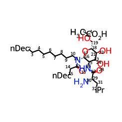 CC(=O)O.CCCCCCCCCCCCCCCCCCN(C(=O)CCCCCCCCCCC)[C@@H]1O[C@H](CO)[C@@H](O)[C@H](O)[C@H]1NC(=O)[C@@H](N)CC(C)C